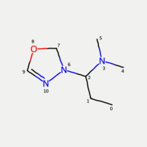 CCC(N(C)C)N1COC=N1